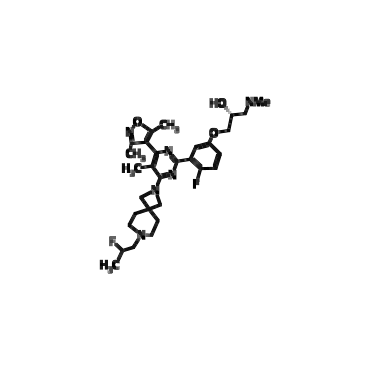 CNC[C@@H](O)COc1ccc(F)c(-c2nc(-c3c(C)noc3C)c(C)c(N3CC4(CCN(CC(C)F)CC4)C3)n2)c1